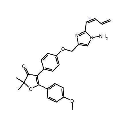 C=C/C=C\c1nc(COc2ccc(C3=C(c4ccc(OC)cc4)OC(C)(C)C3=O)cc2)cn1N